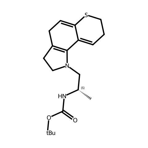 C[C@@H](CN1CCC2=C1C1=CCCSC1=CC2)NC(=O)OC(C)(C)C